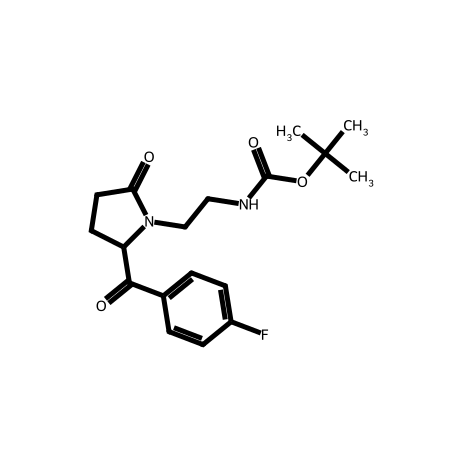 CC(C)(C)OC(=O)NCCN1C(=O)CCC1C(=O)c1ccc(F)cc1